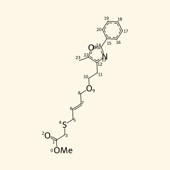 COC(=O)CSCC=CCOCCc1nc(-c2ccccc2)oc1C